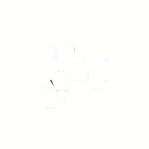 c1cc(-c2c[nH]c3nccc(N4CCC[C@@]5(CCCCN5)C4)c23)cnn1